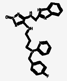 [O-][s+]1nc(NCCCN(Cc2ccc(F)cc2)c2ccccn2)c(NCc2nc3ccccc3[nH]2)n1